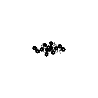 Cc1cc(-c2cccc3c2sc2ccccc23)cc(C)c1N(c1ccccc1)c1cc(-c2ccccc2)c2ccc3c(N(c4ccccc4)c4c(C)cc(-c5cccc6c5sc5ccccc56)cc4C)cc(-c4ccccc4)c4ccc1c2c43